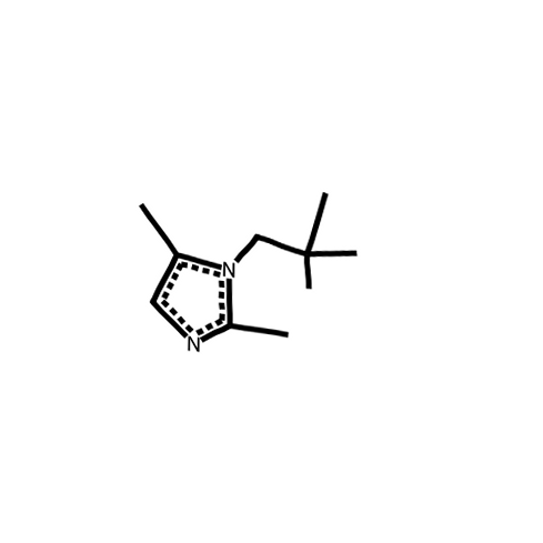 Cc1cnc(C)n1CC(C)(C)C